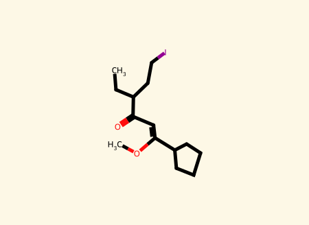 CCC(CCI)C(=O)/C=C(\OC)C1CCCC1